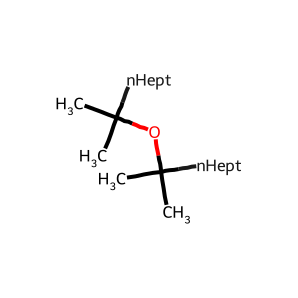 CCCCCCCC(C)(C)OC(C)(C)CCCCCCC